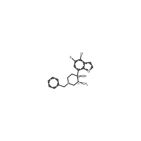 C[C@H]1CN(Cc2ccccc2)CC[C@]1(O)c1cc(F)c(Cl)c2ccoc12